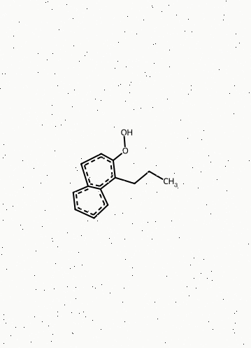 CCCc1c(OO)ccc2ccccc12